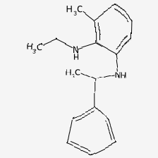 CCNc1c(C)cccc1NC(C)c1ccccc1